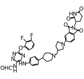 O=CNc1nnc(Oc2cccc(F)c2F)nc1Nc1ccc(C2CCN(CC3CCN(c4ccc5c(c4)C(=O)N(C4CCC(=O)NC4=O)C5=O)C3)CC2)cc1